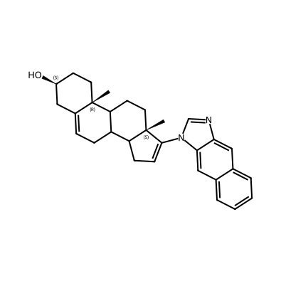 C[C@]12CC[C@H](O)CC1=CCC1C2CC[C@]2(C)C(n3cnc4cc5ccccc5cc43)=CCC12